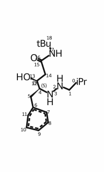 CC(C)CNN[C@@H](Cc1ccccc1)[C@@H](O)CC(=O)NC(C)(C)C